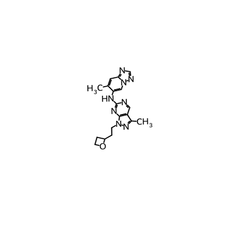 Cc1cc2ncnn2cc1Nc1ncc2c(C)nn(CCC3CCO3)c2n1